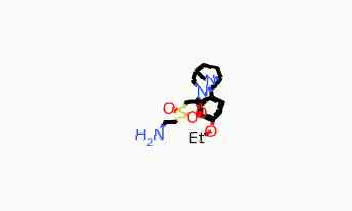 CCOc1ccc(N2CC3CCC2CN(C(=O)CS(=O)(=O)CCN)C3)cc1